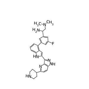 CN(C)CC(N)c1cc(F)cc(-c2cccc3[nH]c(-c4n[nH]c5ccc(C6CCNCC6)nc45)cc23)c1